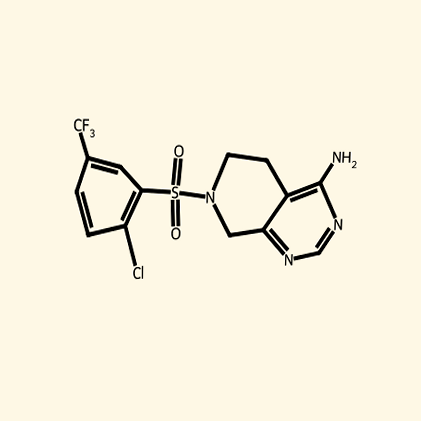 Nc1ncnc2c1CCN(S(=O)(=O)c1cc(C(F)(F)F)ccc1Cl)C2